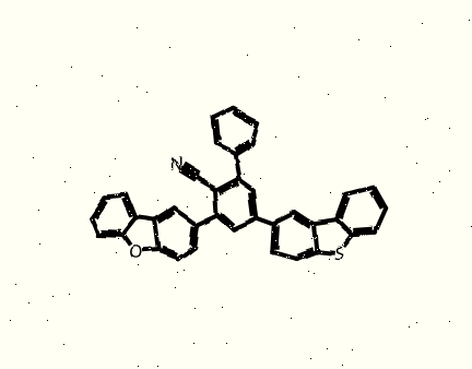 N#Cc1c(-c2ccccc2)cc(-c2ccc3sc4ccccc4c3c2)cc1-c1ccc2oc3ccccc3c2c1